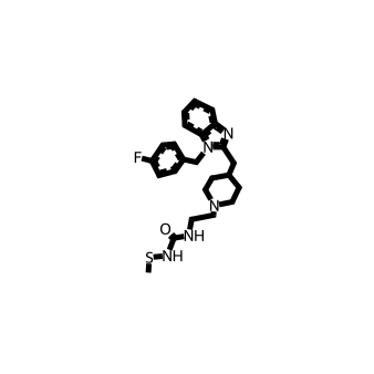 CSNC(=O)NCCN1CCC(Cc2nc3ccccc3n2Cc2ccc(F)cc2)CC1